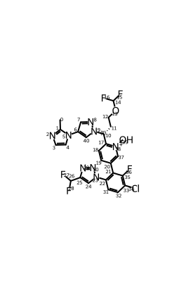 Cc1nccn1-c1cnn([C@H](CCOC(F)F)c2ccc(-c3c(-n4cc(C(F)F)nn4)ccc(Cl)c3F)c[n+]2O)c1